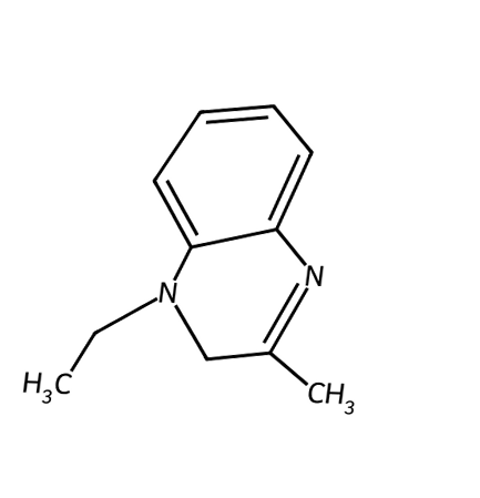 CCN1CC(C)=Nc2ccccc21